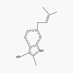 CCCc1c(C)[nH]c2cc(CC=C(C)C)ccc12